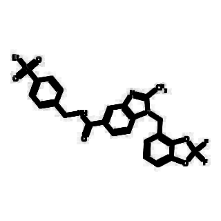 CCS(=O)(=O)c1ccc(CNC(=O)c2ccc3c(c2)nc(C(F)(F)F)n3Cc2cccc3c2OC(F)(F)O3)cc1